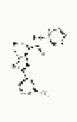 O=C(Nc1ccncn1)c1cccc2[nH]c(-c3cccc(C(F)(F)F)c3)nc12